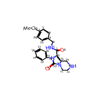 COc1ccc(CNC(=O)c2c3n(c(=O)n2-c2ccccc2)CCNC3)cc1